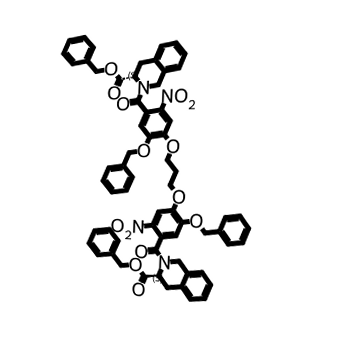 O=C(OCc1ccccc1)[C@@H]1Cc2ccccc2CN1C(=O)c1cc(OCc2ccccc2)c(OCCCOc2cc([N+](=O)[O-])c(C(=O)N3Cc4ccccc4C[C@H]3C(=O)OCc3ccccc3)cc2OCc2ccccc2)cc1[N+](=O)[O-]